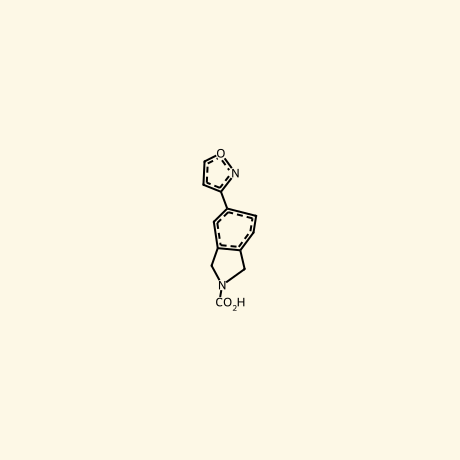 O=C(O)N1Cc2ccc(-c3ccon3)cc2C1